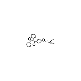 CCN(CC)CCCOc1ccc(C(=O)c2c(-c3ccccc3)oc3ccccc23)cc1